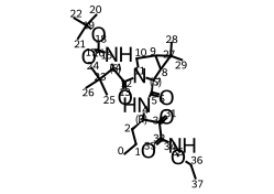 CCC[C@@H](NC(=O)[C@@H]1C2C(CN1C(=O)[C@@H](NC(=O)OC(C)(C)C)C(C)(C)C)C2(C)C)C(=O)C(=O)NOCC